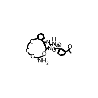 CC(=O)c1cccc(S(=O)(=O)Nc2nc3cc(n2)-c2ccccc2CCCCCCCC[C@@H](N)CO3)c1